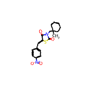 CC1(CN2C(=O)SC(=Cc3ccc([N+](=O)[O-])cc3)C2=O)CCCCC1